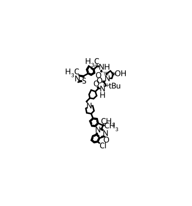 Cc1ncsc1-c1ccc([C@H](C)NC(=O)[C@@H]2C[C@@H](O)CN2C(=O)[C@@H](NC(=O)C2CCC(CN3CCC(c4ccc5c(c4)C(C)(C)c4nc(=O)c6c(Cl)cccc6n4-5)CC3)CC2)C(C)(C)C)cc1